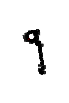 COc1cc2cc(c1Cl)N(C)C(=O)C[C@H](OC(=O)C1CCN(C(=O)CCOCCOCCOCCOCCNC(=O)CCN3C(=O)C=CC3=O)CC1)[C@@]1(C)O[C@H]1[C@H](C)[C@@H]1C[C@@](O)(NC(=O)O1)C(OC)/C=C/C=C(\C)C2